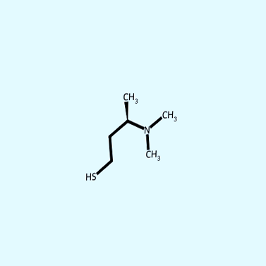 C[C@H](CCS)N(C)C